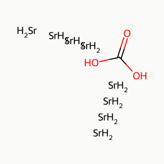 O=C(O)O.[SrH2].[SrH2].[SrH2].[SrH2].[SrH2].[SrH2].[SrH2].[SrH2]